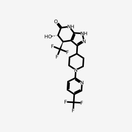 O=C1Nc2[nH]nc(C3CCN(c4ccc(C(F)(F)F)cn4)CC3)c2[C@@H](C(F)(F)F)[C@@H]1O